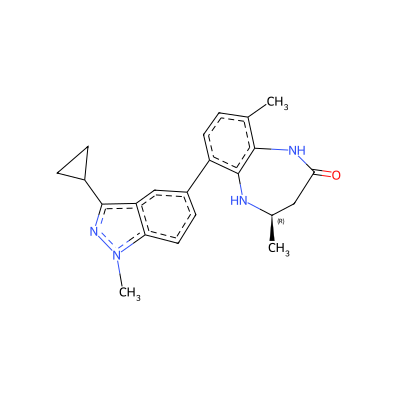 Cc1ccc(-c2ccc3c(c2)c(C2CC2)nn3C)c2c1NC(=O)C[C@@H](C)N2